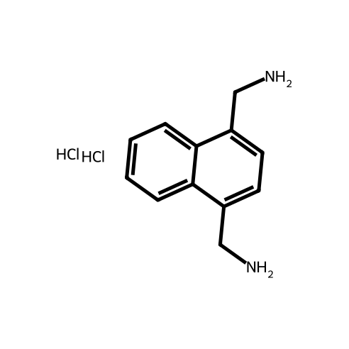 Cl.Cl.NCc1ccc(CN)c2ccccc12